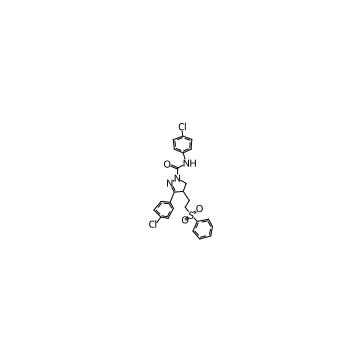 O=C(Nc1ccc(Cl)cc1)N1CC(CCS(=O)(=O)c2ccccc2)C(c2ccc(Cl)cc2)=N1